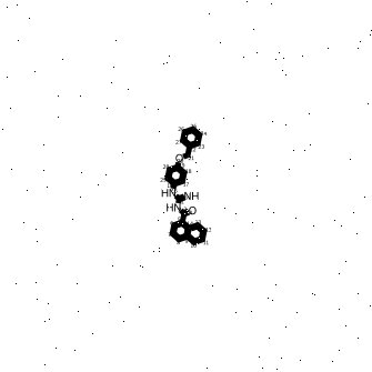 N=C(NC(=O)c1cccc2ccccc12)Nc1ccc(OCc2ccccc2)cc1